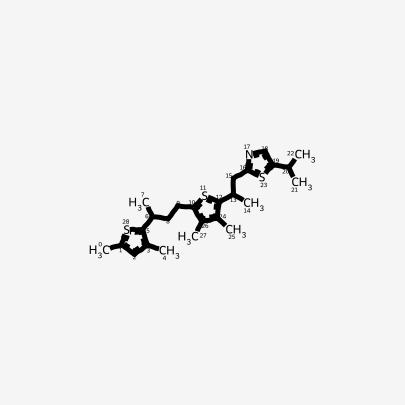 Cc1cc(C)c(C(C)CCc2sc(C(C)Cc3ncc(C(C)C)s3)c(C)c2C)s1